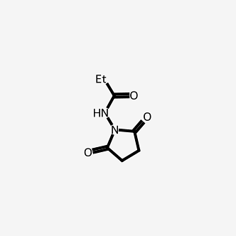 CCC(=O)NN1C(=O)CCC1=O